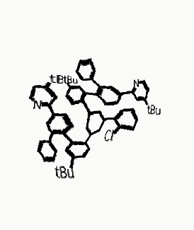 CC(C)(C)c1ccnc(-c2ccc(-c3cc(C(C)(C)C)ccc3C3CC(c4ccccc4Cl)CC(c4ccc(C(C)(C)C)cc4-c4ccc(-c5cc(C(C)(C)C)ccn5)cc4-c4ccccc4)C3)c(-c3ccccc3)c2)c1